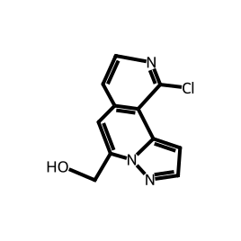 OCc1cc2ccnc(Cl)c2c2ccnn12